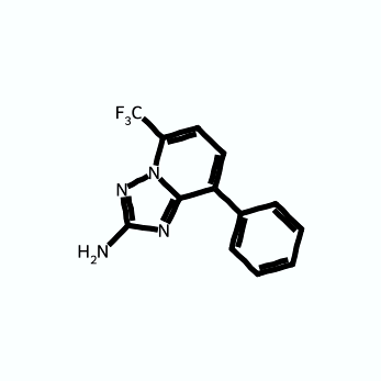 Nc1nc2c(-c3ccccc3)ccc(C(F)(F)F)n2n1